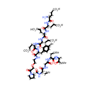 CNC(=O)[C@H](C)NC(=O)[C@H](CSC)NC(=O)CNC(=O)[C@H](CC(C)C)NC(=O)[C@@H]1CCCN1C(=O)COCCNC(=O)[C@H](Cc1ccc(C(C)=O)cc1)NC(=O)[C@@H](CCC(=O)O)NC(=O)[C@@H](CCC(=O)O)NC(=O)[C@@H](CCC(=O)O)NC(=O)[C@@H](CCC(=O)O)NC(=O)[C@H](N)CCC(=O)O